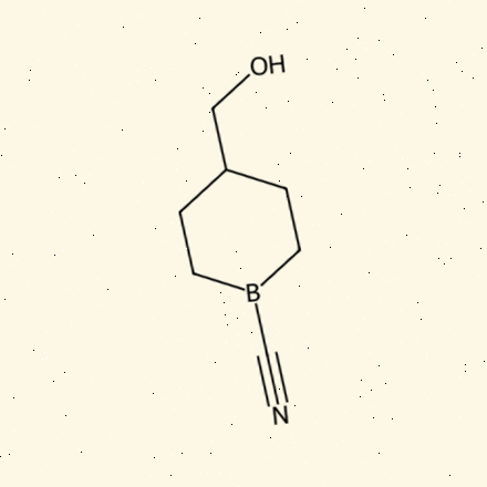 N#CB1CCC(CO)CC1